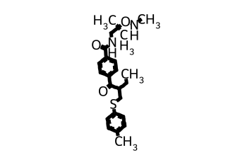 CCC(CSc1ccc(C)cc1)C(=O)c1ccc(C(=O)NCC(C)(C)ONC)cc1